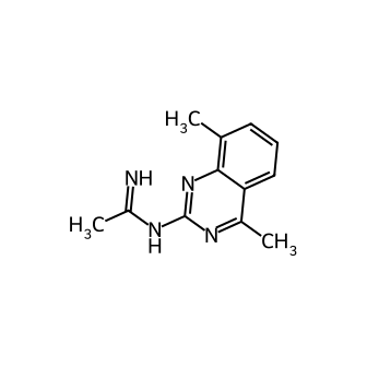 CC(=N)Nc1nc(C)c2cccc(C)c2n1